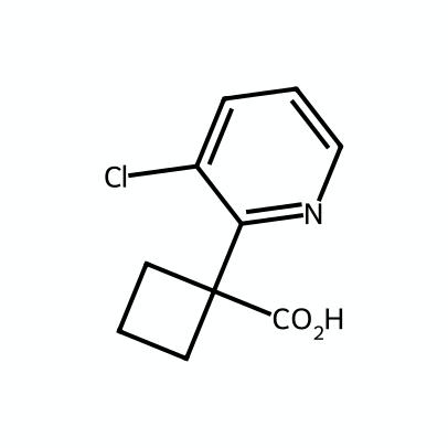 O=C(O)C1(c2ncccc2Cl)CCC1